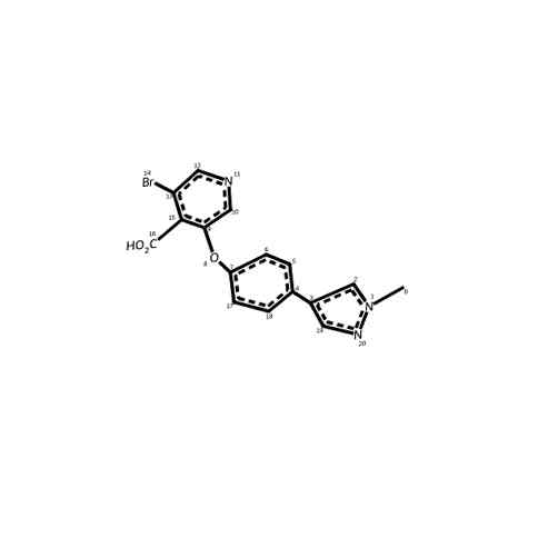 Cn1cc(-c2ccc(Oc3cncc(Br)c3C(=O)O)cc2)cn1